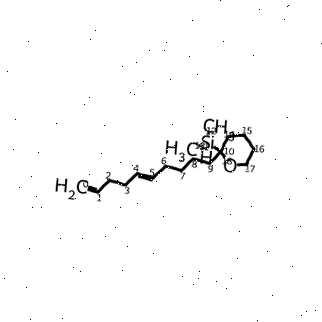 C=CCCC=CCCCCC1([SiH](C)C)CCCCO1